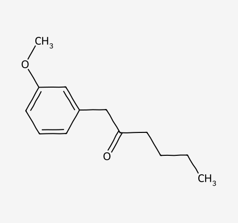 CCCCC(=O)Cc1cccc(OC)c1